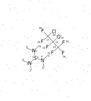 CN(C)[S+](N(C)C)N(C)C.[O-]C(F)(C(F)(F)F)C(F)(F)Cl